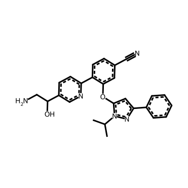 CC(C)n1nc(-c2ccccc2)cc1Oc1cc(C#N)ccc1-c1ccc(C(O)CN)cn1